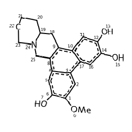 COc1cc2c(cc1O)c1c(c3cc(O)c(O)cc32)CC2CCCCN2C1